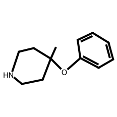 CC1(Oc2ccccc2)CCNCC1